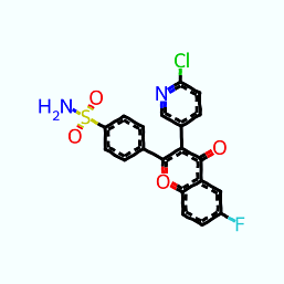 NS(=O)(=O)c1ccc(-c2oc3ccc(F)cc3c(=O)c2-c2ccc(Cl)nc2)cc1